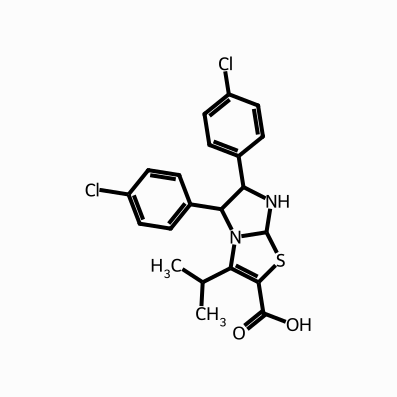 CC(C)C1=C(C(=O)O)SC2NC(c3ccc(Cl)cc3)C(c3ccc(Cl)cc3)N12